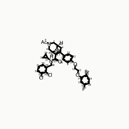 CC(=O)N1C[C@H]2CC(c3ccc(OCCOc4cc(F)ccc4Br)cc3)=C(C(=O)N(Cc3cccc(Cl)c3Cl)C3CC3)[C@@H](C1)N2